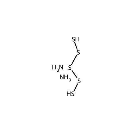 N.N.SSSSS